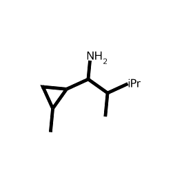 CC(C)C(C)C(N)C1CC1C